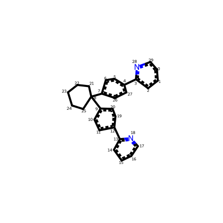 c1ccc(-c2ccc(C3(c4ccc(-c5ccccn5)cc4)CCCCC3)cc2)nc1